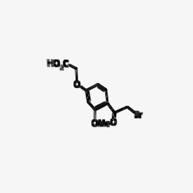 COc1cc(OCC(=O)O)ccc1C(=O)CBr